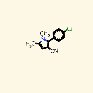 CN1C(C(F)(F)F)=CC(C#N)C1c1ccc(Cl)cc1